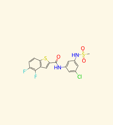 CS(=O)(=O)Nc1cc(Cl)cc(NC(=O)c2cc3c(F)c(F)ccc3s2)c1